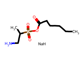 CCCCCC(=O)OS(=O)(=O)C(C)CN.[NaH]